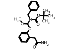 COC(Oc1ccccc1CC(N)=O)N(Cc1ccccc1)C(=O)OC(C)(C)C